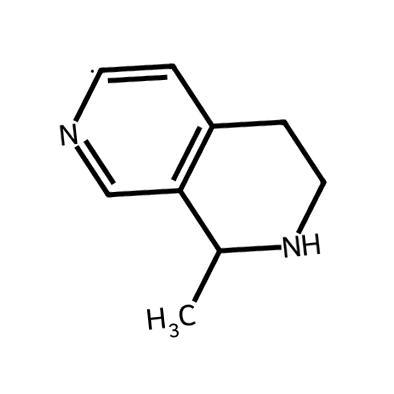 CC1NCCc2c[c]ncc21